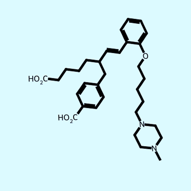 CN1CCN(CCCCCOc2ccccc2/C=C/C(CCCCC(=O)O)Cc2ccc(C(=O)O)cc2)CC1